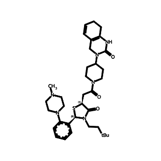 CN1CCN(c2ccccc2[C@H]2S[C@@H](CC(=O)N3CCC(N4CC5=C(CCC=C5)NC4=O)CC3)C(=O)N2CCC(C)(C)C)CC1